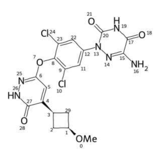 CO[C@H]1C[C@@H](c2cc(Oc3c(Cl)cc(-n4nc(N)c(=O)[nH]c4=O)cc3Cl)n[nH]c2=O)C1